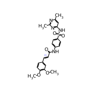 COc1ccc(/C=C/C(=O)Nc2ccc(S(=O)(=O)Nc3cc(C)nc(C)n3)cc2)cc1OC